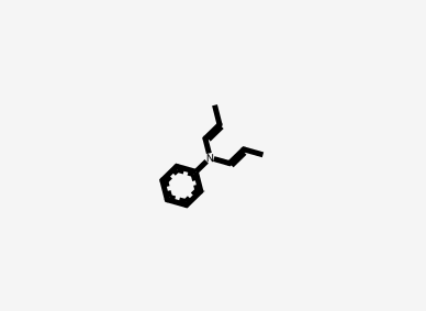 CC=CN(C=CC)c1[c]cccc1